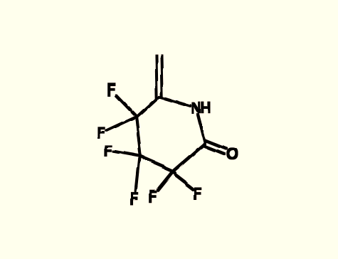 C=C1NC(=O)C(F)(F)C(F)(F)C1(F)F